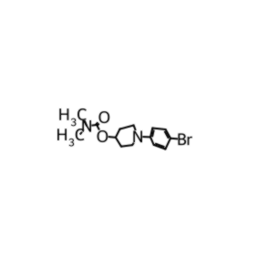 CN(C)C(=O)OC1CCN(c2ccc(Br)cc2)CC1